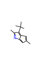 CC1=CC2=C(C(C)(C)C)C(C)=NC2=C1